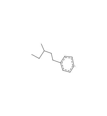 CCC(C)CCc1cc[c]cc1